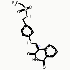 O=C1NC(=O)c2ccccc2/C1=C/Nc1ccc(CNS(=O)(=O)CC(F)(F)F)cc1